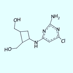 Nc1nc(Cl)cc(NC2CC(CO)C2CO)n1